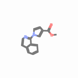 COC(=O)c1ccn(-c2nccc3ccccc23)c1